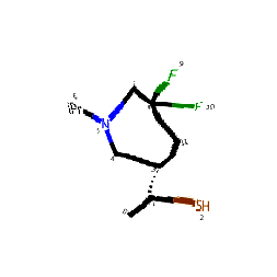 CC(S)[C@@H]1CN(C(C)C)CC(F)(F)C1